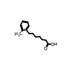 Cc1ccccc1CCCCCCC(=O)O